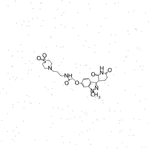 Cn1nc(C2CCC(=O)NC2=O)c2ccc(OCC(=O)NCCCN3CCS(=O)(=O)CC3)cc21